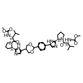 COC(=O)N[C@@H](C(=O)N1CCC[C@@H]1c1ncc(-c2ccc(C3OCC(c4cnc([C@H]5CCCN5C(=O)[C@H](NC(=O)OC)C(C)C)[nH]4)CO3)cc2)[nH]1)C(C)C